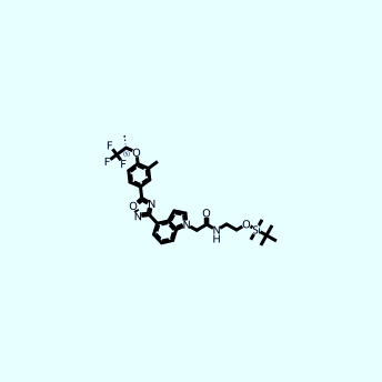 Cc1cc(-c2nc(-c3cccc4c3ccn4CC(=O)NCCO[Si](C)(C)C(C)(C)C)no2)ccc1O[C@@H](C)C(F)(F)F